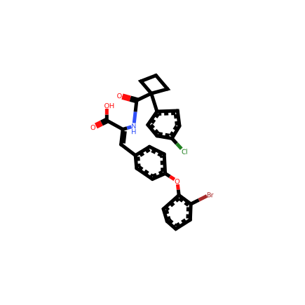 O=C(O)C(=Cc1ccc(Oc2ccccc2Br)cc1)NC(=O)C1(c2ccc(Cl)cc2)CCC1